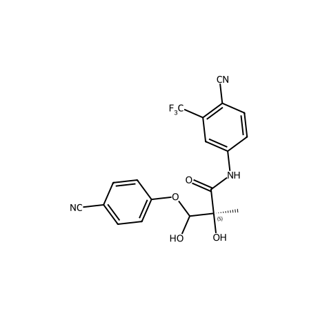 C[C@@](O)(C(=O)Nc1ccc(C#N)c(C(F)(F)F)c1)C(O)Oc1ccc(C#N)cc1